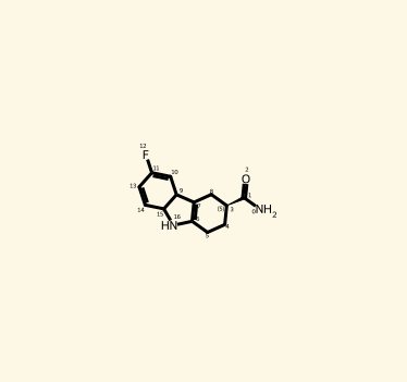 NC(=O)[C@H]1CCC2=C(C1)C1C=C(F)C=CC1N2